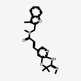 CN=C1Nc2ncc(C=CC(=O)N(C)Cc3oc4ccccc4c3C)cc2OC1(C)C